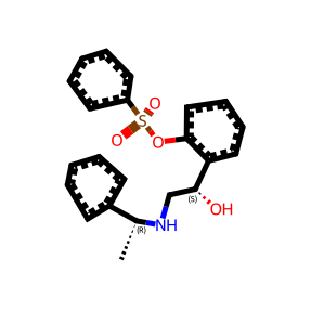 C[C@@H](NC[C@@H](O)c1ccccc1OS(=O)(=O)c1ccccc1)c1ccccc1